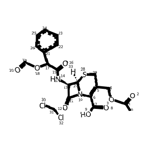 CC(=O)OCC1=C(C(=O)O)N2C(=O)[C@@H](NC(=O)C(OC=O)c3ccccc3)[C@H]2SC1.ClCCl